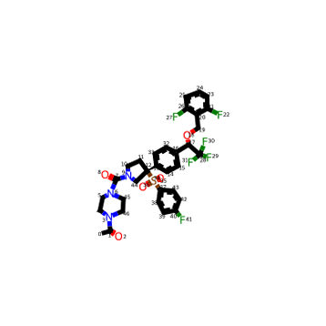 CC(=O)N1CCN(C(=O)N2CC[C@](c3ccc(C(OCc4c(F)cccc4F)C(F)(F)F)cc3)(S(=O)(=O)c3ccc(F)cc3)C2)CC1